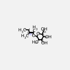 CC/C(C)=C(\C)OC1OC(CO)C(O)C(O)C1O